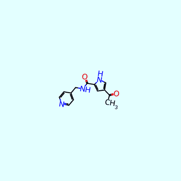 CC(=O)c1c[nH]c(C(=O)NCc2ccncc2)c1